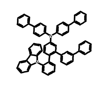 c1ccc(-c2ccc(N(c3ccc(-c4ccccc4)cc3)c3ccc(-c4ccccc4-n4c5ccccc5c5ccccc54)c(-c4cccc(-c5ccccc5)c4)c3)cc2)cc1